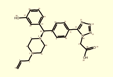 C=CCN1CCN([C@H](c2ccc(-c3nnnn3CC(=O)O)cc2)c2cccc(O)c2)CC1